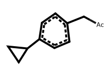 CC(=O)Cc1ccc(C2CC2)cc1